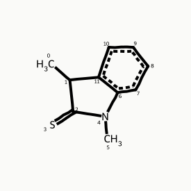 CC1C(=S)N(C)c2ccccc21